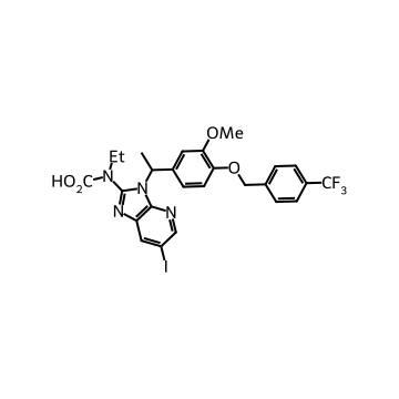 CCN(C(=O)O)c1nc2cc(I)cnc2n1C(C)c1ccc(OCc2ccc(C(F)(F)F)cc2)c(OC)c1